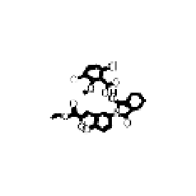 CCOC(=O)/C(Cl)=C/c1cc(N2C(=O)C3=C(CCCC3)C2=O)ccc1Cl.COc1c(Cl)ccc(Cl)c1C(=O)O